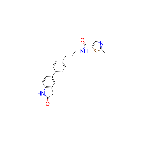 Cc1ncc(C(=O)NCCCc2ccc(-c3ccc4c(c3)CC(=O)N4)cc2)s1